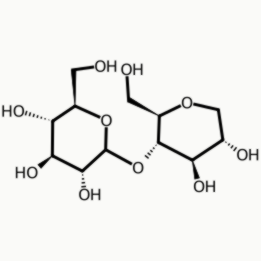 OC[C@H]1OC(O[C@H]2[C@H](O)[C@@H](O)CO[C@@H]2CO)[C@H](O)[C@@H](O)[C@@H]1O